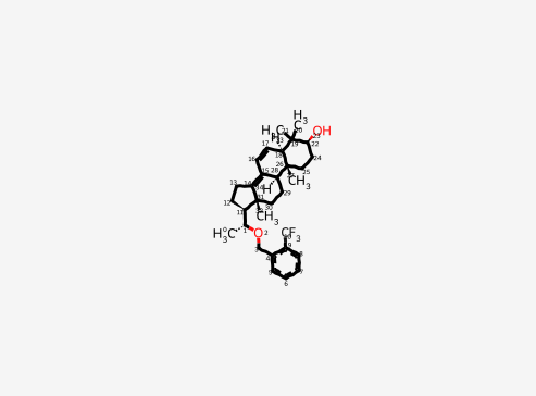 C[C@@H](OCc1ccccc1C(F)(F)F)[C@H]1CCC2=C3C=C[C@H]4C(C)(C)[C@@H](O)CC[C@]4(C)[C@H]3CC[C@@]21C